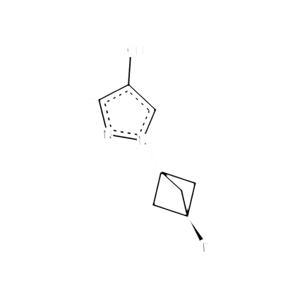 Cc1cnn([C@]23C[C@@](F)(C2)C3)c1